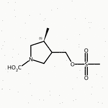 C[C@@H]1CN(C(=O)O)CC1COS(C)(=O)=O